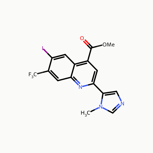 COC(=O)c1cc(-c2cncn2C)nc2cc(C(F)(F)F)c(I)cc12